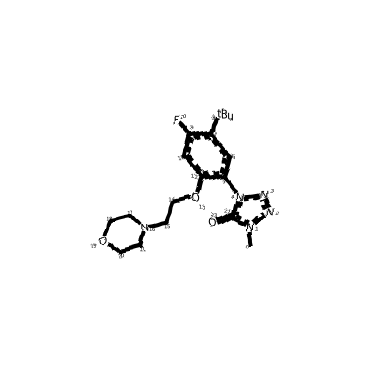 Cn1nnn(-c2cc(C(C)(C)C)c(F)cc2OCCN2CCOCC2)c1=O